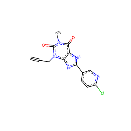 C#CCn1c(=O)n(CCC)c(=O)c2[nH]c(-c3ccc(Cl)nc3)nc21